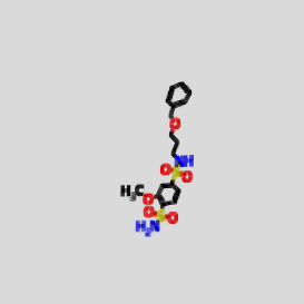 COc1cc(S(=O)(=O)NCCCOCc2ccccc2)ccc1S(N)(=O)=O